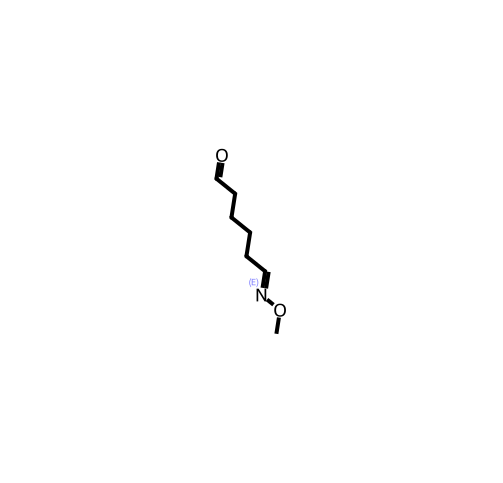 CO/N=C/CCCCC=O